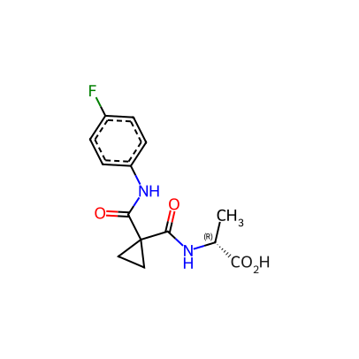 C[C@@H](NC(=O)C1(C(=O)Nc2ccc(F)cc2)CC1)C(=O)O